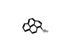 [CH2]C(C)(C)c1ccc2ccc3cccc4ccc1c2c34